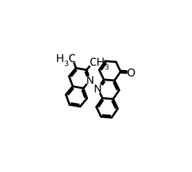 Cc1cc2ccccc2nc1C.O=C1CC=Cc2nc3ccccc3cc21